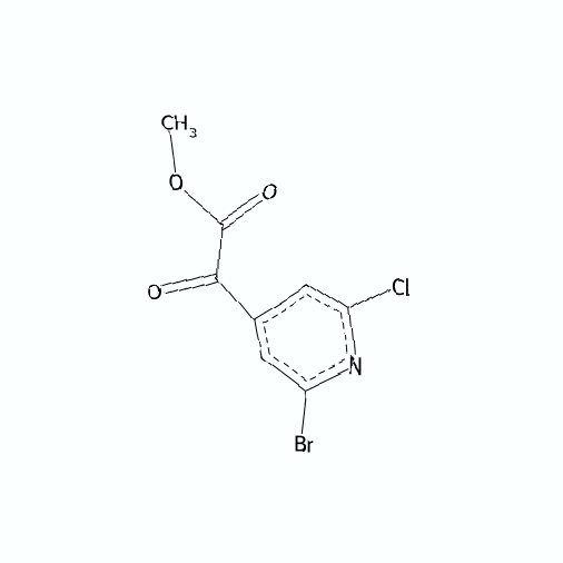 COC(=O)C(=O)c1cc(Cl)nc(Br)c1